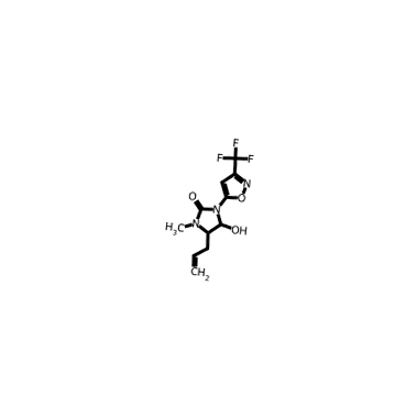 C=CCC1C(O)N(c2cc(C(F)(F)F)no2)C(=O)N1C